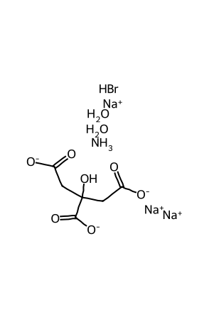 Br.N.O.O.O=C([O-])CC(O)(CC(=O)[O-])C(=O)[O-].[Na+].[Na+].[Na+]